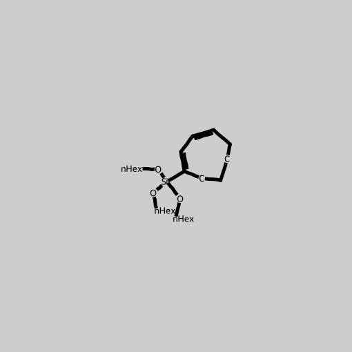 CCCCCCO[Si](OCCCCCC)(OCCCCCC)/C1=C/C=C\CCCC1